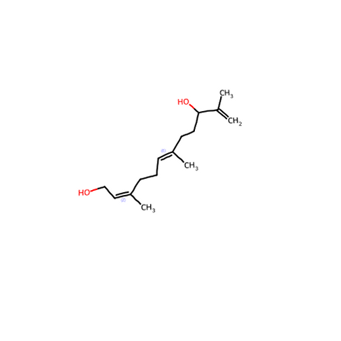 C=C(C)C(O)CC/C(C)=C/CC/C(C)=C\CO